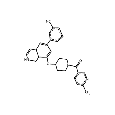 N#Cc1cccc(C2=CC3C=CNCC3C(OC3CCN(C(=O)c4ccc(C(F)(F)F)nc4)CC3)=C2)c1